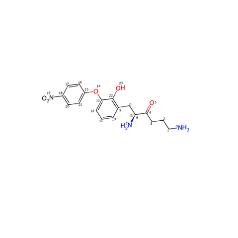 NCCCC(=O)[C@@H](N)Cc1cccc(Oc2ccc([N+](=O)[O-])cc2)c1O